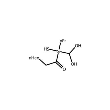 CCCCCCCC(=O)[Si](S)(CCC)C(O)O